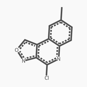 Cc1ccc2nc(Cl)c3nocc3c2c1